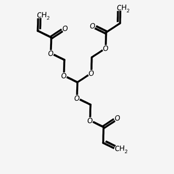 C=CC(=O)OCOC(OCOC(=O)C=C)OCOC(=O)C=C